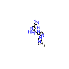 CN1CCN(c2nccc3[nH]c(-c4n[nH]c5ncc(-c6cncnc6)cc45)cc23)CC1